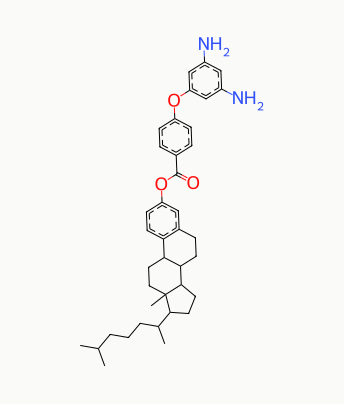 CC(C)CCCC(C)C1CCC2C3CCc4cc(OC(=O)c5ccc(Oc6cc(N)cc(N)c6)cc5)ccc4C3CCC12C